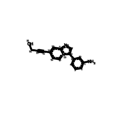 Nc1cccc(-c2cnc3cc(C#CCO)ccn23)c1